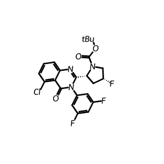 CC(C)(C)OC(=O)N1C[C@H](F)C[C@@H]1c1nc2cccc(Cl)c2c(=O)n1-c1cc(F)cc(F)c1